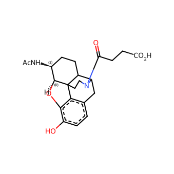 CC(=O)N[C@H]1CCC2C3Cc4ccc(O)c5c4C2(CCN3C(=O)CCC(=O)O)[C@H]1O5